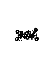 O=C(Nc1ccccc1)c1nc2c3cccc4c5nc(C(=O)Nc6ccccc6)c(C(=O)Nc6ccccc6)nc5c5cccc(c2nc1C(=O)Nc1ccccc1)c5c34